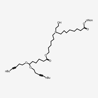 CCCCC#CCCOC(CCCCC(=O)OCCCCCCN(CCO)CCCCCCCC(=O)OCCCCCCCCC)OCCC#CCCCC